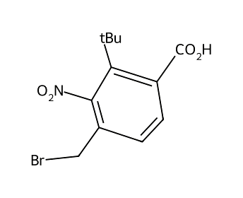 CC(C)(C)c1c(C(=O)O)ccc(CBr)c1[N+](=O)[O-]